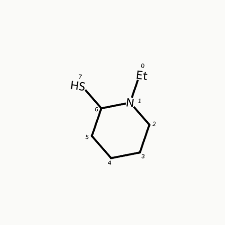 CCN1CCCCC1S